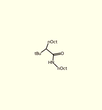 CCCCCCCCNC(=O)C(CCCCCCCC)C(C)(C)C